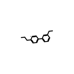 CCCc1[c]cc(-c2cccc(CC)c2)cc1